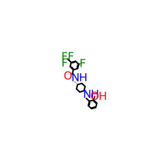 O=C(NC[C@H]1CC[C@@H](NCc2ccccc2O)CC1)c1cc(F)cc(C(F)(F)F)c1